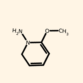 COC1=CC=CCN1N